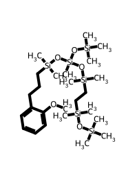 COc1ccccc1CCC[Si](C)(C)O[Si](C)(O[Si](C)(C)C)O[Si](C)(C)CC[Si](C)(C)O[Si](C)(C)C